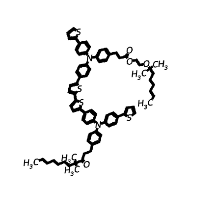 CCCCCCCC(C)(C)C(=O)CCc1ccc(N(c2ccc(-c3cccs3)cc2)c2ccc(-c3ccc(-c4ccc(-c5ccc(N(c6ccc(CCC(=O)OCCOC(C)(C)CCCCCC)cc6)c6ccc(-c7cccs7)cc6)cc5)s4)s3)cc2)cc1